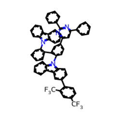 FC(F)(F)c1ccc(-c2ccc3c(c2)c2ccccc2n3-c2ccc(-c3cc(-c4ccccc4)nc(-c4ccccc4)n3)cc2-c2ccccc2-n2c3ccccc3c3ccccc32)c(C(F)(F)F)c1